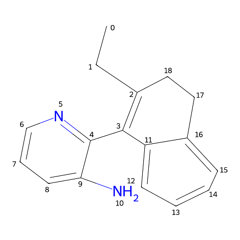 CCC1=C(c2ncccc2N)c2ccccc2CC1